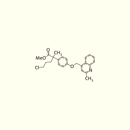 COC(=O)C(C)(CCCCl)c1ccc(OCc2cc(C)nc3ccccc23)cc1